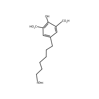 CCCCCCCCCCCCCCCCc1cc(C(=O)O)c(O)c(C(=O)O)c1